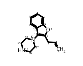 C=CCc1oc2ccccc2c1N1CCNCC1